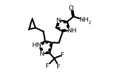 NC(=O)c1ncc(Cc2c(C(F)(F)F)n[nH]c2CC2CC2)[nH]1